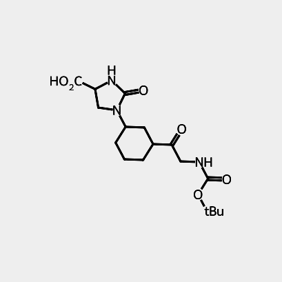 CC(C)(C)OC(=O)NCC(=O)C1CCCC(N2CC(C(=O)O)NC2=O)C1